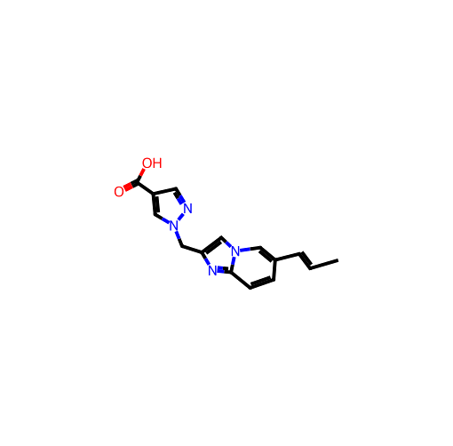 CC=Cc1ccc2nc(Cn3cc(C(=O)O)cn3)cn2c1